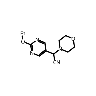 CCOc1ncc(C(C#N)N2CCOCC2)cn1